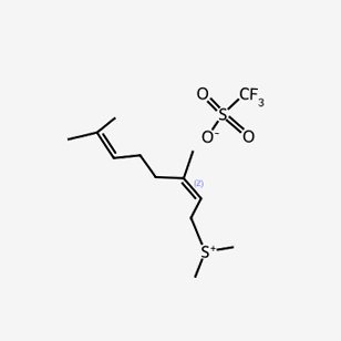 CC(C)=CCC/C(C)=C\C[S+](C)C.O=S(=O)([O-])C(F)(F)F